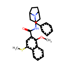 COc1c(C(=O)NC2CC3CCC(C2)N3Cc2ccccc2)cc(SC)c2ccccc12